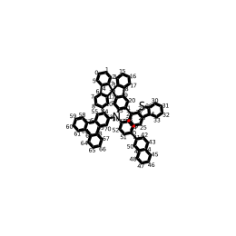 c1ccc2c(c1)-c1ccccc1C21c2ccccc2-c2cc(-c3cccc4c3sc3ccccc34)c(N(c3ccc(-c4ccc5ccccc5c4)cc3)c3ccc4c5ccccc5c5ccccc5c4c3)cc21